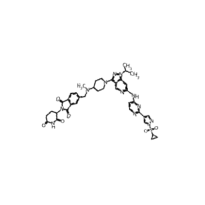 CC(C)n1nc(N2CCC(N(C)Cc3ccc4c(c3)C(=O)N(C3CCC(=O)NC3=O)C4=O)CC2)c2cnc(Nc3ccnc(-c4cnn(S(=O)(=O)C5CC5)c4)n3)cc21